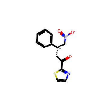 O=C(C[C@@H](C[N+](=O)[O-])c1ccccc1)c1nccs1